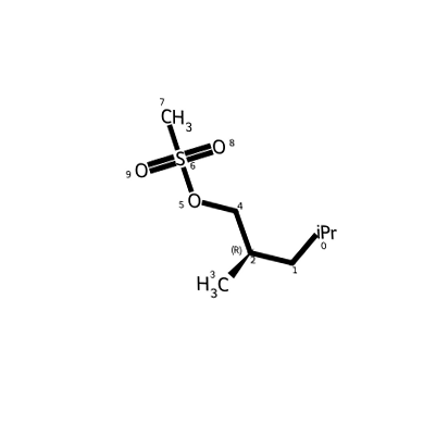 CC(C)C[C@@H](C)COS(C)(=O)=O